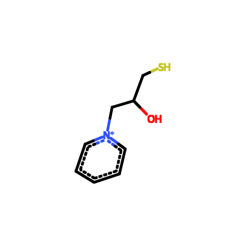 OC(CS)C[n+]1ccccc1